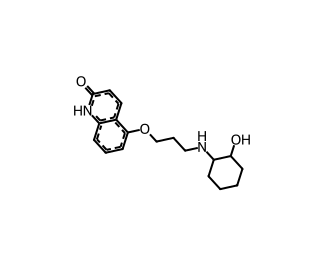 O=c1ccc2c(OCCCNC3CCCCC3O)cccc2[nH]1